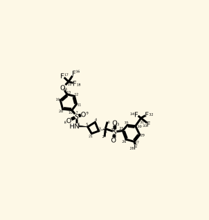 CC(C)([C@H]1C[C@H](NS(=O)(=O)c2ccc(OC(F)(F)F)cc2)C1)S(=O)(=O)c1cc(F)cc(C(F)(F)F)c1